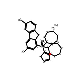 CC(C)(C)c1ccc2c(c1)-c1cc(C(C)(C)C)c[c]([Zr](=[SiH2])([C]3=CC=CC3)([CH]3CCCCCC3)[CH]3CCCCCC3)c1C2.Cl.Cl